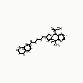 CC(C)c1ncncc1C(C(=O)O)N1CCC(CCCCCc2ccc3c(n2)NCCC3)C1